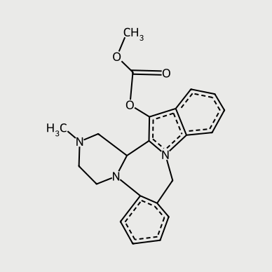 COC(=O)Oc1c2n(c3ccccc13)Cc1ccccc1N1CCN(C)CC21